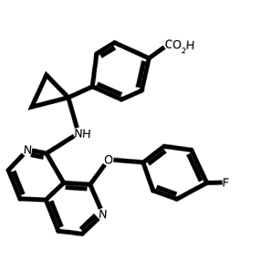 O=C(O)c1ccc(C2(Nc3nccc4ccnc(Oc5ccc(F)cc5)c34)CC2)cc1